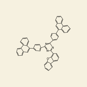 c1ccc2c(c1)cc(-c1ccc(-c3nc(-c4ccc(-c5cc6ccccc6c6ccccc56)cc4)nc(-c4cccc5c4oc4ccccc45)n3)cc1)c1ccccc12